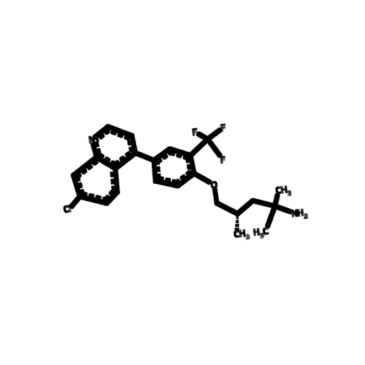 C[C@H](COc1ccc(-c2ccnc3cc(Cl)ccc23)cc1C(F)(F)F)CC(C)(C)N